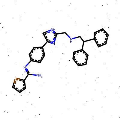 N/C(=N\c1ccc(-c2c[nH]c(CNCC(c3ccccc3)c3ccccc3)n2)cc1)c1cccs1